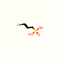 O=P(O)(O)CC=CCl